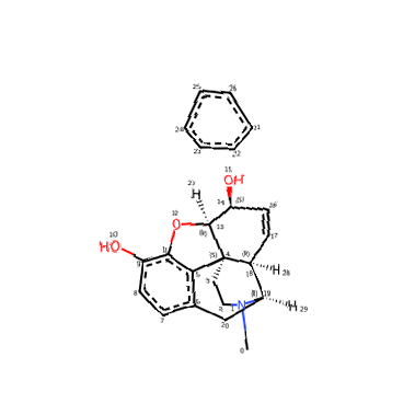 CN1CC[C@]23c4c5ccc(O)c4O[C@H]2[C@@H](O)C=C[C@H]3[C@H]1C5.c1ccccc1